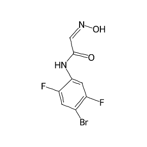 O=C(/C=N\O)Nc1cc(F)c(Br)cc1F